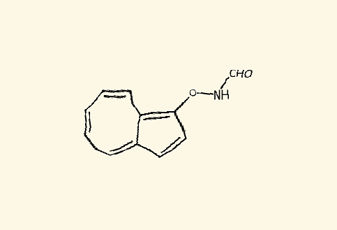 O=CNOc1ccc2cccccc1-2